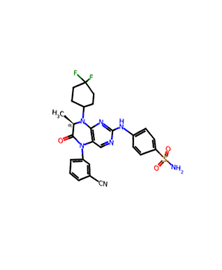 C[C@@H]1C(=O)N(c2cccc(C#N)c2)c2cnc(Nc3ccc(S(N)(=O)=O)cc3)nc2N1C1CCC(F)(F)CC1